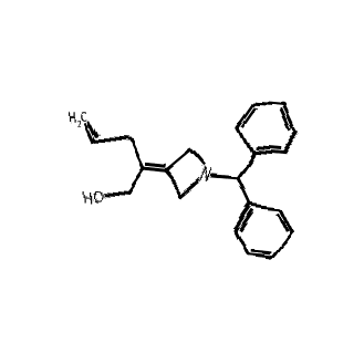 C=CCC(CO)=C1CN(C(c2ccccc2)c2ccccc2)C1